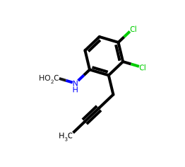 CC#CCc1c(NC(=O)O)ccc(Cl)c1Cl